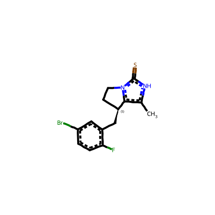 Cc1[nH]c(=S)n2c1[C@@H](Cc1cc(Br)ccc1F)CC2